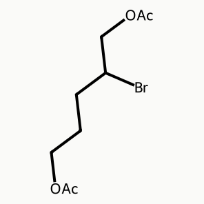 CC(=O)OCCCC(Br)COC(C)=O